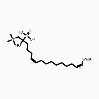 CCCCC/C=C\CCCCCCC/C=C\CCCC(O)(C[N+](C)(C)C)P(=O)(O)O